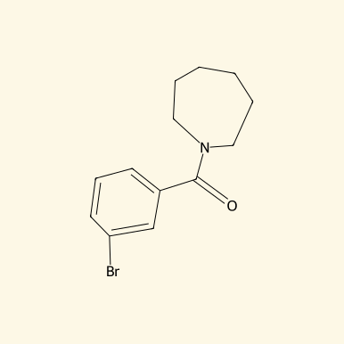 O=C(c1cccc(Br)c1)N1CCCCCC1